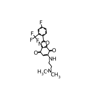 CN(C)CCNC1=CC(=O)c2nc(-c3ccc(F)cc3C(F)(F)F)oc2C1=O